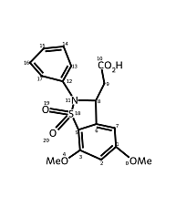 COc1cc(OC)c2c(c1)C(CC(=O)O)N(c1ccccc1)S2(=O)=O